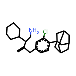 C=C(Cc1ccc(C23CC4CC(CC(C4)C2)C3)c(Cl)c1)C(CN)C1CCCCC1